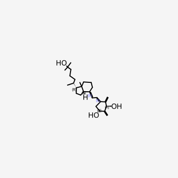 C=C1/C(=C/C=C2\CCCC3(C)[C@@H](C(C)CCCC(C)(C)O)CC[C@@H]23)C[C@@H](O)C(=C)[C@@H]1O